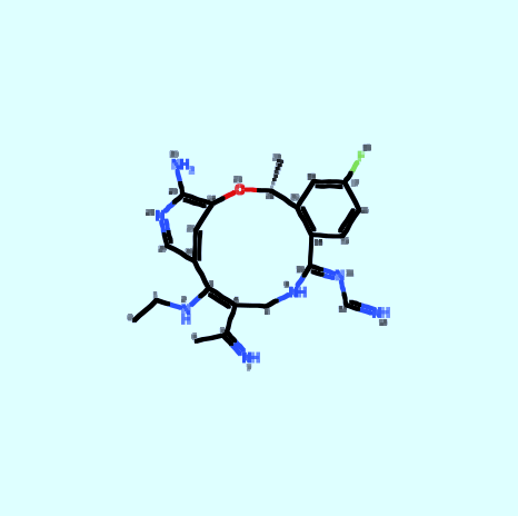 CCN/C1=C(\C(C)=N)CN/C(=N\C=N)c2ccc(F)cc2[C@@H](C)Oc2cc1cnc2N